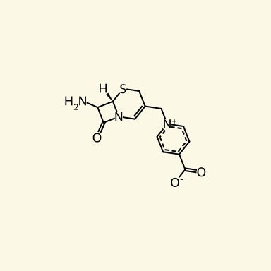 NC1C(=O)N2C=C(C[n+]3ccc(C(=O)[O-])cc3)CS[C@@H]12